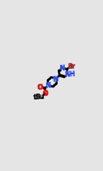 CC(C)(C)OC(=O)N1CCN(C2=CNC(Br)N=C2)CC1